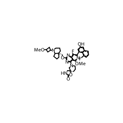 COc1nc(-c2cc(O)cc3cccc(F)c23)c(F)c2nc(OC[C@]34CCCC3N(C3CC(OC)C3)CCC4)nc(N3CCC[C@]4(CNC(=O)O4)C3)c12